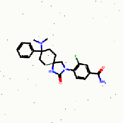 CN(C)[C@]1(c2ccccc2)CC[C@]2(CC1)CN(c1ccc(C(N)=O)cc1F)C(=O)N2